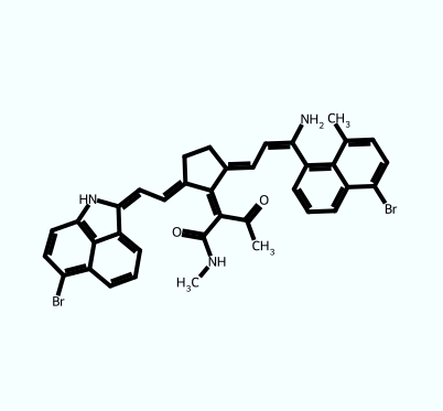 CNC(=O)/C(C(C)=O)=C1C(=C/C=C(/N)c2cccc3c(Br)ccc(C)c23)/CCC/1=C\C=c1\[nH]c2ccc(Br)c3cccc1c23